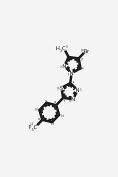 Cc1nn(-c2nnc(-c3ccc(C(F)(F)F)cc3)s2)cc1Br